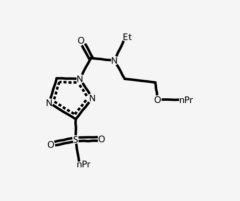 CCCOCCN(CC)C(=O)n1cnc(S(=O)(=O)CCC)n1